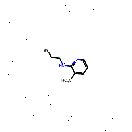 CC(C)CCNc1ncccc1C(=O)O